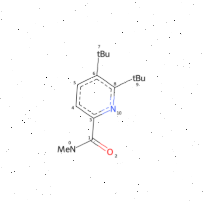 CNC(=O)c1ccc(C(C)(C)C)c(C(C)(C)C)n1